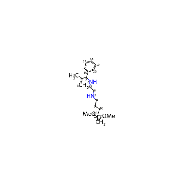 C=C(C)C(NCCNCCC[Si](C)(OC)OC)c1ccccc1